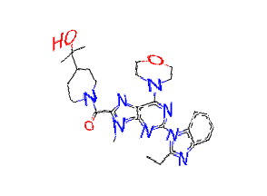 CCc1nc2ccccc2n1-c1nc(N2CCOCC2)c2nc(C(=O)N3CCC(C(C)(C)O)CC3)n(C)c2n1